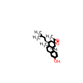 CC(C)CC[C@H]1CC2(C[C@@H]3c4ccc(O)cc4CC[C@@]13C)OOC2C